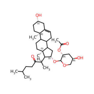 CC(=O)O[C@@H]1C[C@@H](O)COC1O[C@H]1CC2C3CC=C4C[C@@H](O)CC[C@]4(C)C3CC[C@]2(C)C1C(C)C(=O)CCC(C)C